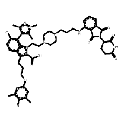 Cc1cc(OCCCc2c(C(=O)O)n(CCN3CCN(CCCNc4cccc5c4C(=O)N(C4CCC(=O)NC4=O)C5=O)CC3)c3c(-c4c(C)nn(C)c4C)c(Cl)ccc23)cc(C)c1Cl